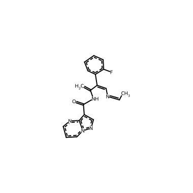 C=C(NC(=O)c1cnn2cccnc12)/C(=C\N=C/C)c1ccccc1F